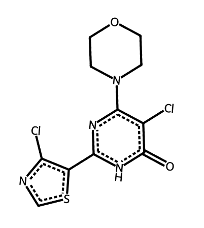 O=c1[nH]c(-c2scnc2Cl)nc(N2CCOCC2)c1Cl